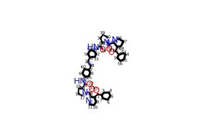 O=C(c1ccccc1)c1cccnc1C(=O)N1CCC[C@H]1C(=O)Nc1ccc(/C=C/c2ccc(NC(=O)[C@@H]3CCCN3C(=O)c3ncccc3C(=O)c3ccccc3)cc2)cc1